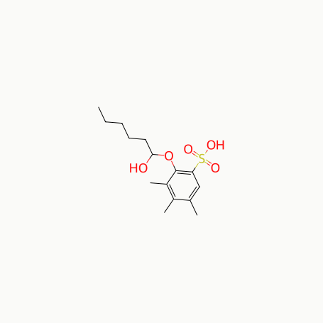 CCCCCC(O)Oc1c(S(=O)(=O)O)cc(C)c(C)c1C